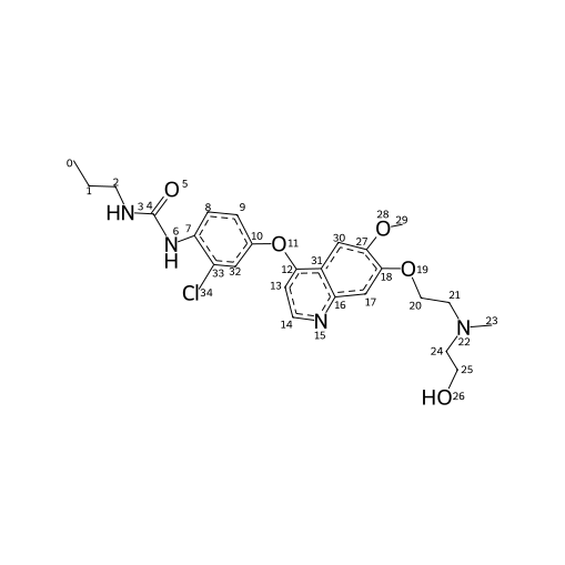 CCCNC(=O)Nc1ccc(Oc2ccnc3cc(OCCN(C)CCO)c(OC)cc23)cc1Cl